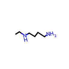 CCNCCCCN